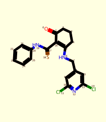 O=C1CCCC(NCc2cc(Cl)nc(Cl)c2)=C1C(=S)Nc1ccccc1